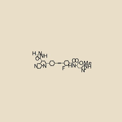 COC(=O)C(Cc1c[nH]cn1)NC(=O)c1ccc(C#Cc2ccc(-c3cc(C(=O)NN)c4cnccc4n3)cc2)c(F)c1